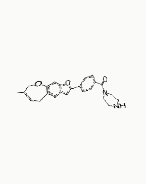 CC1=CCc2cc3cc(-c4ccc(C(=O)N5CCNCC5)cc4)oc3cc2OC1